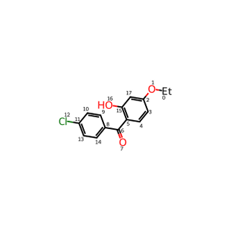 CCOc1ccc(C(=O)c2ccc(Cl)cc2)c(O)c1